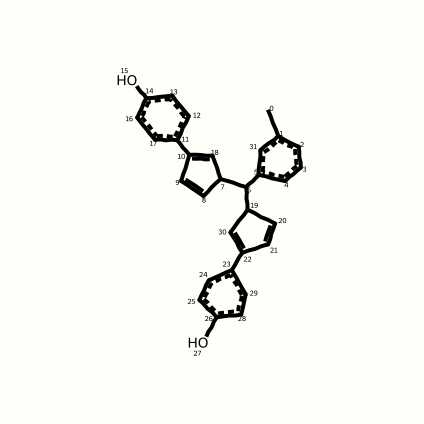 Cc1cccc(C(C2C=CC(c3ccc(O)cc3)=C2)C2C=CC(c3ccc(O)cc3)=C2)c1